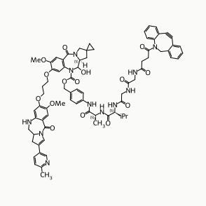 COc1cc2c(cc1OCCCOc1cc3c(cc1OC)C(=O)N1CC4(CC4)C[C@H]1C(O)N3C(=O)OCc1ccc(NC(=O)[C@H](C)NC(=O)[C@@H](NC(=O)CNC(=O)CNC(=O)CCC(=O)N3Cc4ccccc4C#Cc4ccccc43)C(C)C)cc1)NCC1CC(c3ccc(C)nc3)=CN1C2=O